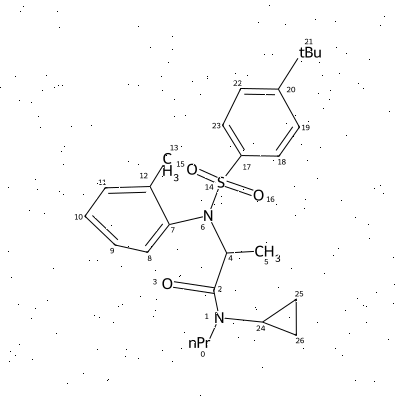 CCCN(C(=O)C(C)N(c1ccccc1C)S(=O)(=O)c1ccc(C(C)(C)C)cc1)C1CC1